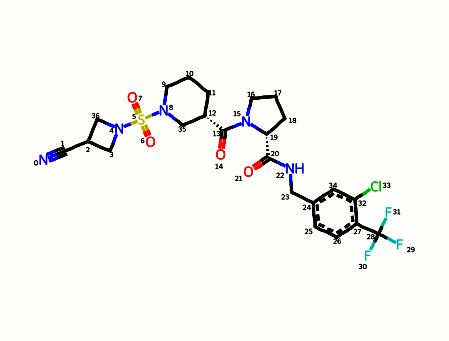 N#CC1CN(S(=O)(=O)N2CCC[C@H](C(=O)N3CCC[C@@H]3C(=O)NCc3ccc(C(F)(F)F)c(Cl)c3)C2)C1